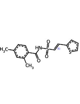 Cc1ccc(C(=O)NS(=O)(=O)/C=C/c2cccs2)c(C)c1